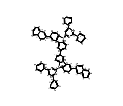 c1ccc(-c2cc(-n3c4ccc(-c5ccc6ccccc6c5)cc4c4cc(-c5ccc6c(c5)c5cc(-c7ccc8ccccc8c7)ccc5n6-c5nc(-c6ccccc6)cc(-c6ccccc6)n5)ccc43)nc(-c3ccccc3)n2)cc1